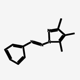 Cc1nn(/N=N/c2ccccc2)c(C)c1C